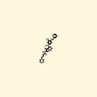 Cc1c(NC(=O)/C=C/CN2CCOCC2)cn2ncnc(Nc3ccc(OCc4ccccn4)c(Cl)c3)c12